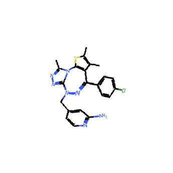 Cc1sc2c(c1C)C(c1ccc(Cl)cc1)=NN(Cc1ccnc(N)c1)c1nnc(C)n1-2